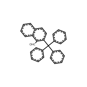 O=Cc1c(C(c2ccccc2)(c2ccccc2)c2ccccc2)ccc2ccccc12